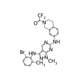 Cc1cccc(Br)c1Nc1nn(C)c2nc(Nc3ccc4c(c3)CN(C(=O)C(F)(F)F)CC4)ncc12